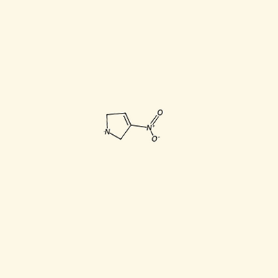 O=[N+]([O-])C1=CC[N]C1